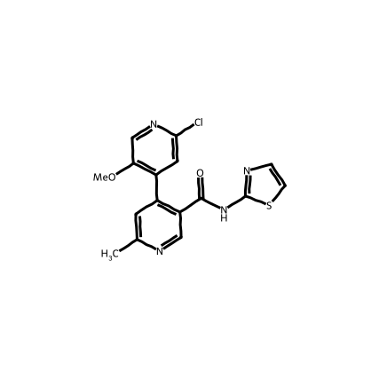 COc1cnc(Cl)cc1-c1cc(C)ncc1C(=O)Nc1nccs1